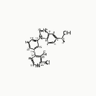 C[C@H](O)c1ccc2c(c1)ncn2-c1cccc(-c2ccnc(Cl)c2F)c1